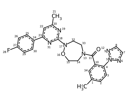 Cc1ccc(-n2nccn2)c(C(=O)N2CCON(c3nc(C)cc(-c4ccc(F)cc4)n3)CC2)c1